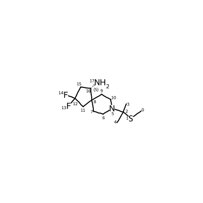 CSC(C)(C)N1CCC2(CC1)CC(F)(F)C[C@@H]2N